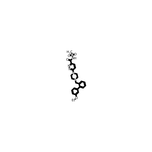 CCOc1cccc(-c2ccccc2CN2CCN(c3ccc(C(=O)NS(C)(=O)=O)nn3)CC2)c1